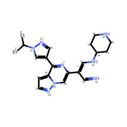 CCC(CC)n1cc(-c2nc(/C(C=N)=C/NC3CCNCC3)cn3nccc23)cn1